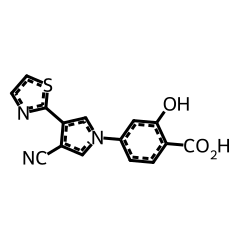 N#Cc1cn(-c2ccc(C(=O)O)c(O)c2)cc1-c1nccs1